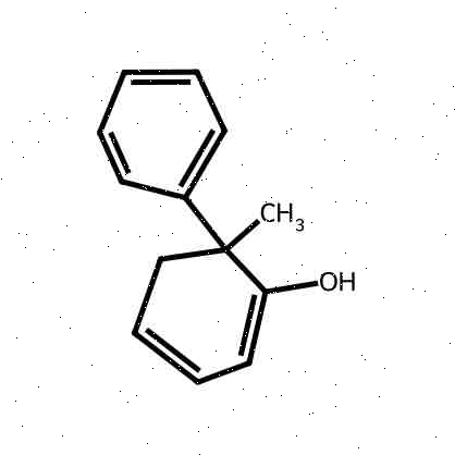 CC1(c2ccccc2)CC=CC=C1O